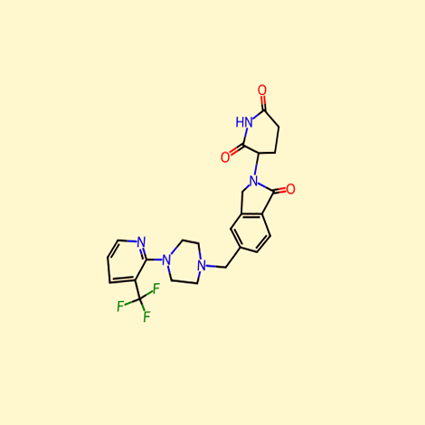 O=C1CCC(N2Cc3cc(CN4CCN(c5ncccc5C(F)(F)F)CC4)ccc3C2=O)C(=O)N1